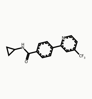 O=C(NC1CC1)c1ccc(-c2cc(C(F)(F)F)ccn2)cc1